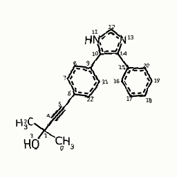 CC(C)(O)C#Cc1ccc(-c2[nH]cnc2-c2ccccc2)cc1